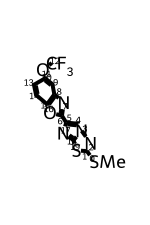 CSc1nn2cc(-c3nc4cc(OC(F)(F)F)ccc4o3)nc2s1